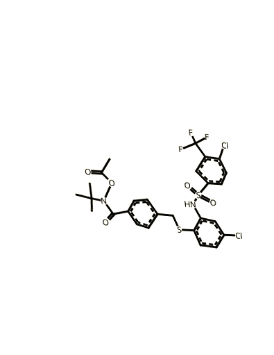 CC(=O)ON(C(=O)c1ccc(CSc2ccc(Cl)cc2NS(=O)(=O)c2ccc(Cl)c(C(F)(F)F)c2)cc1)C(C)(C)C